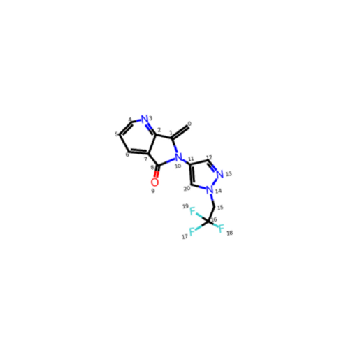 C=C1c2ncccc2C(=O)N1c1cnn(CC(F)(F)F)c1